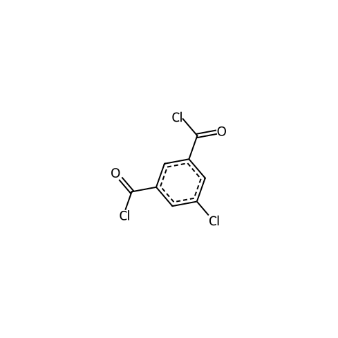 O=C(Cl)c1cc(Cl)cc(C(=O)Cl)c1